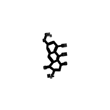 COc1cc(O)c2c(O)c3c(cc2c1)C(=O)C(C)=CC3=O